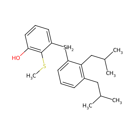 CSc1c(O)cccc1[SiH2]c1cccc(CC(C)C)c1CC(C)C